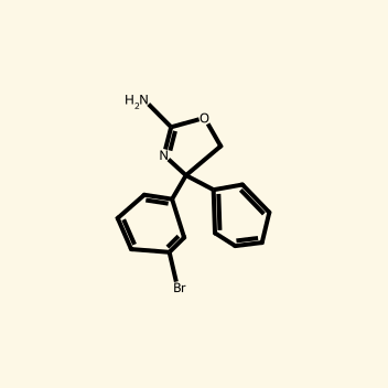 NC1=NC(c2ccccc2)(c2cccc(Br)c2)CO1